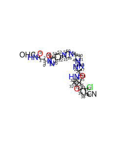 CC(CCC(=O)NC=O)n1ncc2cc(N3CCN(CC4CCN(c5ncc(C(=O)NC6C(C)(C)C(Oc7ccc(C#N)c(Cl)c7)C6(C)C)cn5)C4)CC3)ccc2c1=O